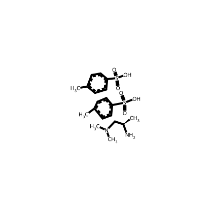 C[C@@H](N)CN(C)C.Cc1ccc(S(=O)(=O)O)cc1.Cc1ccc(S(=O)(=O)O)cc1